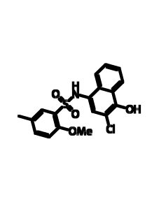 COc1ccc(C)cc1S(=O)(=O)Nc1cc(Cl)c(O)c2ccccc12